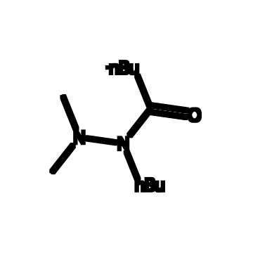 CCC[CH]C(=O)N(CCCC)N(C)C